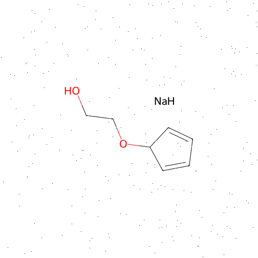 OCCOC1C=CC=C1.[NaH]